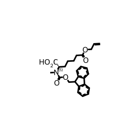 C=CCOC(=O)CCCC[C@@H](C(=O)O)N(C)C(=O)OCC1c2ccccc2-c2ccccc21